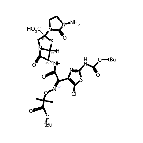 CC(C)(C)OC(=O)Nc1nc(/C(=N/OC(C)(C)C(=O)OC(C)(C)C)C(=O)N[C@@H]2C(=O)N3C[C@@](C(=O)O)(N4CCN(N)C4=O)S[C@H]23)c(Cl)s1